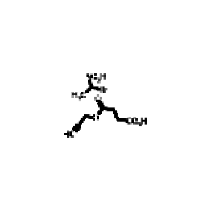 C#CCOC(=O)CCC(=O)O.CC(Br)S(=O)(=O)O